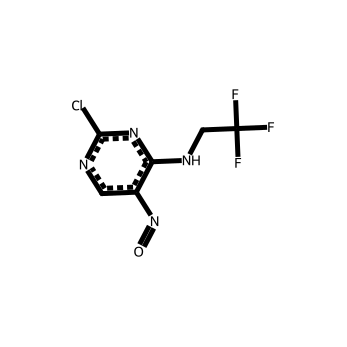 O=Nc1cnc(Cl)nc1NCC(F)(F)F